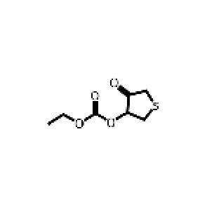 CCOC(=O)OC1CSCC1=O